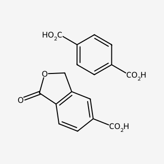 O=C(O)c1ccc(C(=O)O)cc1.O=C(O)c1ccc2c(c1)COC2=O